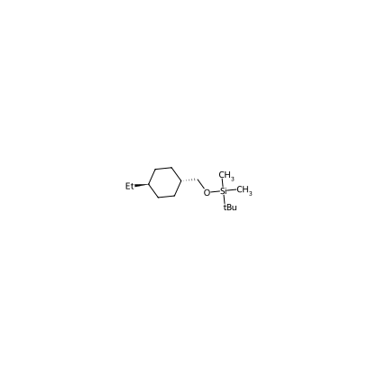 CC[C@H]1CC[C@H](CO[Si](C)(C)C(C)(C)C)CC1